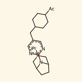 CC(=O)C1CCC(Cc2cnc(N3C4CCC3CN(C(C)C)C4)nc2)CC1